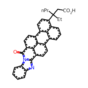 CCCC(CC)(CC(=O)O)c1ccc2c3ccc4c(=O)n5c6ccccc6nc5c5ccc(c6cccc1c26)c3c45